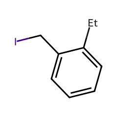 CCc1ccccc1CI